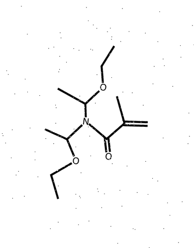 C=C(C)C(=O)N(C(C)OCC)C(C)OCC